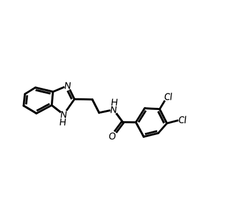 O=C(NCCc1nc2ccccc2[nH]1)c1ccc(Cl)c(Cl)c1